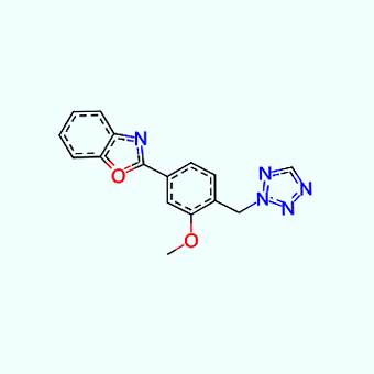 COc1cc(-c2nc3ccccc3o2)ccc1Cn1ncnn1